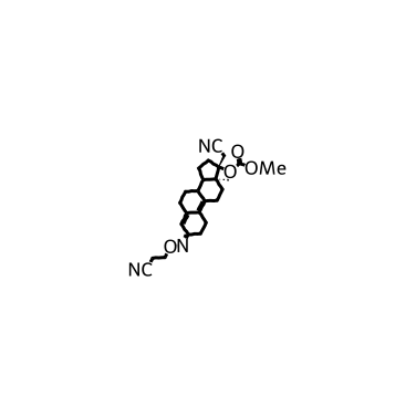 COC(=O)O[C@@]1(CC#N)CCC2C3CCC4=CC(=NOCCC#N)CCC4=C3CC[C@@]21C